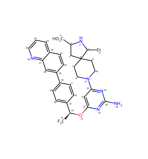 CCC1NC(C(=O)O)CC12CCN(c1cc(O[C@H](c3ccc(-c4ccc5cccnc5c4)cc3)C(F)(F)F)nc(N)n1)CC2